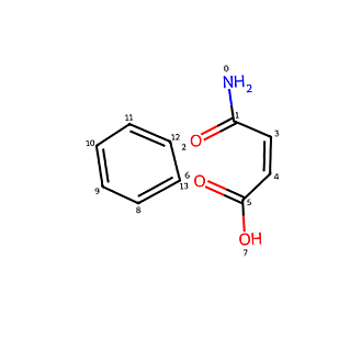 NC(=O)/C=C\C(=O)O.c1ccccc1